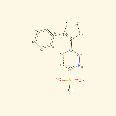 CS(=O)(=O)c1ccc(C2=C(c3ccccc3)CCC2)cn1